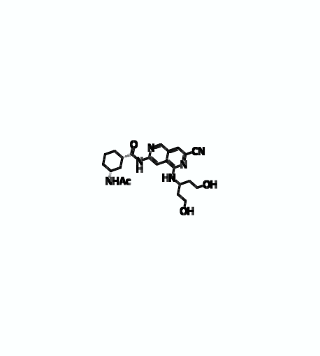 CC(=O)N[C@@H]1CCC[C@H](C(=O)Nc2cc3c(NC(CCO)CCO)nc(C#N)cc3cn2)C1